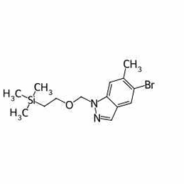 Cc1cc2c(cnn2COCC[Si](C)(C)C)cc1Br